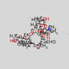 CCC1OC(=O)CC(O)C(C)C(OC2OC(C)C(OC3CC(C)(O)C(C)C(C)O3)C(N(C)C)C2O)C(CCC=O)CC(C)C(=O)/C=C/C(C)=C/C1COC1OC(C)C(O)C(OC)C1OC